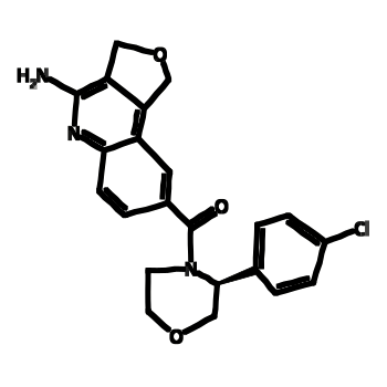 Nc1nc2ccc(C(=O)N3CCOC[C@@H]3c3ccc(Cl)cc3)cc2c2c1COC2